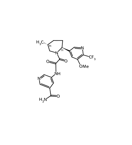 COc1cc([C@@H]2CC[C@@H](C)CN2C(=O)C(=O)Nc2cncc(C(N)=O)c2)cnc1C(F)(F)F